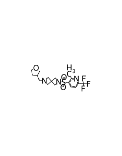 Cc1nc(C(F)(F)F)ccc1S(=O)(=O)N1CC2(CN(C[C@H]3CCOC3)C2)C1